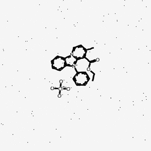 CCOC(=O)c1c(C)ccn2c3ccccc3[n+](-c3ccccc3)c12.[O-][Cl+3]([O-])([O-])[O-]